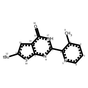 Cc1cccnc1-c1nc2sc(C(C)(C)C)cc2c(=O)[nH]1